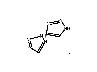 [c]1c[nH]nn1.[c]1cn[nH]n1